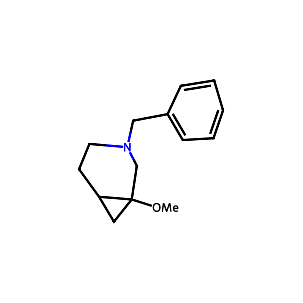 COC12CC1CCN(Cc1ccccc1)C2